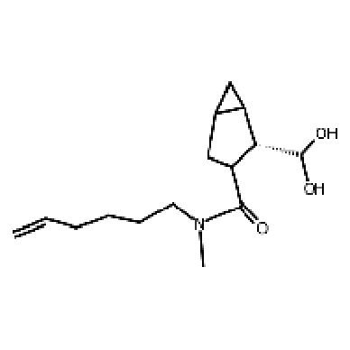 C=CCCCCN(C)C(=O)C1CC2CC2[C@@H]1C(O)O